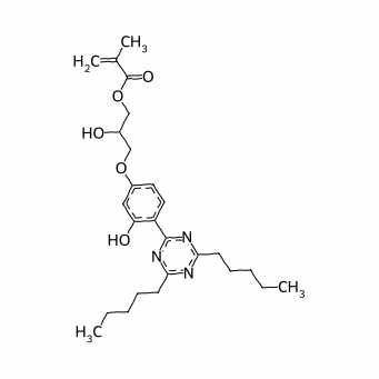 C=C(C)C(=O)OCC(O)COc1ccc(-c2nc(CCCCC)nc(CCCCC)n2)c(O)c1